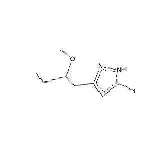 CCC(Cc1cc(I)[nH]n1)OC